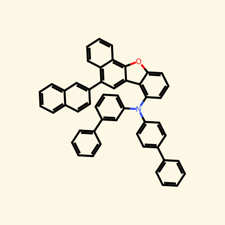 c1ccc(-c2ccc(N(c3cccc(-c4ccccc4)c3)c3cccc4oc5c6ccccc6c(-c6ccc7ccccc7c6)cc5c34)cc2)cc1